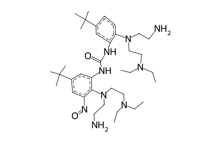 CCN(CC)CCN(CCN)c1ccc(C(C)(C)C)cc1NC(=O)Nc1cc(C(C)(C)C)cc(N=O)c1N(CCN)CCN(CC)CC